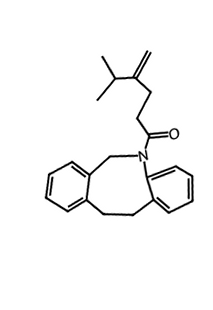 C=C(CCC(=O)N1Cc2ccccc2CCc2ccccc21)C(C)C